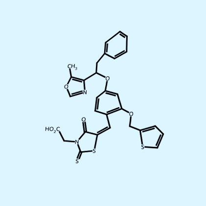 Cc1ocnc1C(Cc1ccccc1)Oc1ccc(C=C2SC(=S)N(CC(=O)O)C2=O)c(OCc2cccs2)c1